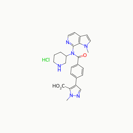 Cl.Cn1ncc(-c2ccc(C(=O)N(c3nccc4ccn(C)c34)C3CCCNC3)cc2)c1C(=O)O